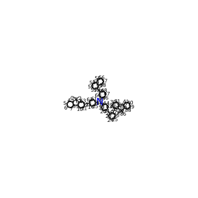 CC1(C)c2ccccc2-c2ccc(-c3ccc(N(c4ccc(-c5ccccc5-c5cccc6c5C(C)(C)c5ccccc5-6)cc4)c4cccc(-c5cccc6ccccc56)c4)cc3)cc21